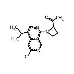 CC(=O)C1CCN1c1ncc(C(C)C)c2cc(Cl)ncc12